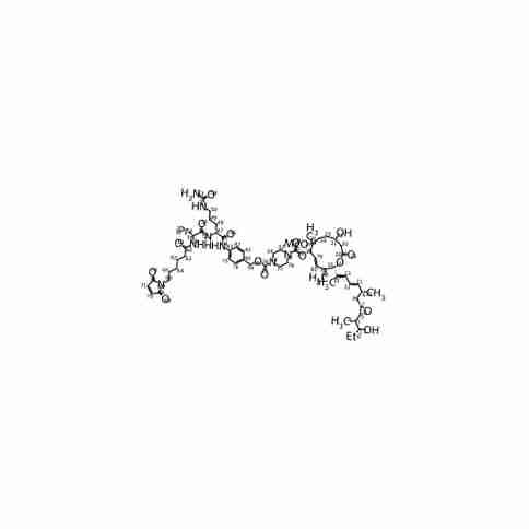 CC[C@H](O)[C@@H](C)[C@H]1O[C@@H]1C[C@H](C)/C=C/C=C(\C)[C@H]1OC(=O)C[C@H](O)CC[C@@](C)(OC)[C@@H](OC(=O)N2CCN(C(=O)OCc3ccc(NC(=O)[C@H](CCCNC(N)=O)NC(=O)[C@@H](NC(=O)CCCCCN4C(=O)C=CC4=O)C(C)C)cc3)CC2)/C=C/[C@@H]1C